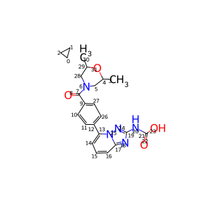 C1CC1.CC1CN(C(=O)c2ccc(-c3cccc4nc(NC(=O)O)nn34)cc2)CC(C)O1